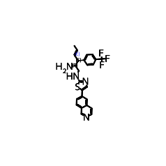 C/C=C/[C@@H](c1ccc(C(F)(F)F)cc1)[C@@H](N)CNc1ncc(-c2ccc3cnccc3c2)s1